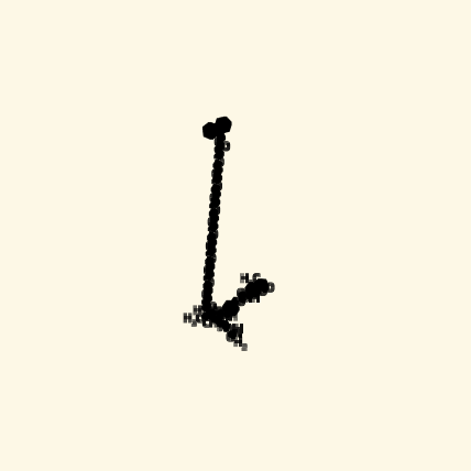 Cc1cc(=O)oc2cc(NC(=O)OCc3ccc(NC(=O)C(CCCNC(N)=O)CC(=O)C(NC(=O)CCOCCOCCOCCOCCOCCOCCOCCOCCOCCOCCOCCOCCCC(=O)OCC4c5ccccc5-c5ccccc54)C(C)C)cc3)ccc12